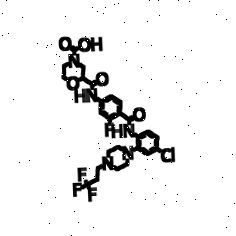 O=C(Nc1ccc(Cl)cc1N1CCN(CCC(F)(F)F)CC1)c1ccc(NC(=O)C2CN(C(=O)O)CCO2)cc1F